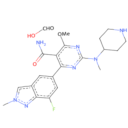 COc1nc(N(C)C2CCNCC2)nc(-c2cc(F)c3nn(C)cc3c2)c1C(N)=O.O=CO